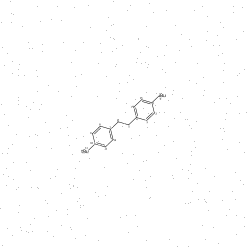 CCC(C)c1ccc(CCc2ccc(C(C)(C)C)cc2)cc1